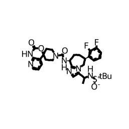 CC(N[S+]([O-])C(C)(C)C)c1cnc2n1C[C@H](c1cccc(F)c1F)CC[C@H]2NC(=O)N1CCC2(CC1)OC(=O)Nc1ncccc12